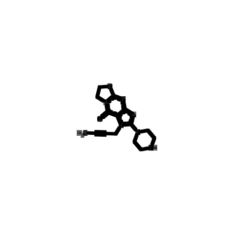 CC#CCn1c(N2CCNCC2)nc2nc3n(c(=O)c21)CCO3